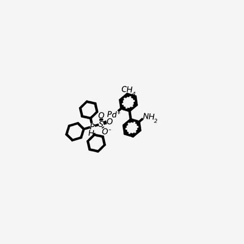 C.Nc1ccccc1-c1cccc[c]1[Pd+].O=S(=O)([O-])[PH](C1CCCCC1)(C1CCCCC1)C1CCCCC1